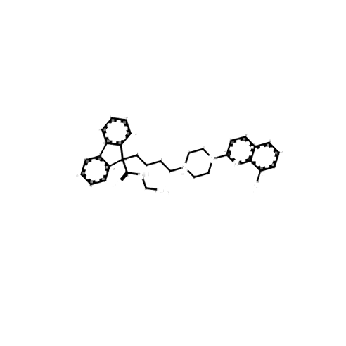 O=C(NCC(F)(F)F)C1(CCCCN2CCN(c3ccc4cccc(Cl)c4n3)CC2)c2ccccc2-c2ccccc21